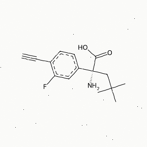 C#Cc1ccc([C@](N)(CC(C)(C)C)C(=O)O)cc1F